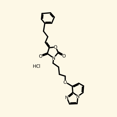 Cl.O=C1OC(=CCCc2ccccc2)C(=O)N1CCCCOc1cccn2ccnc12